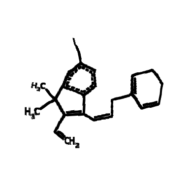 C=CC1=C(/C=C\CC2=CCCC=C2)c2ccc(I)cc2C1(C)C